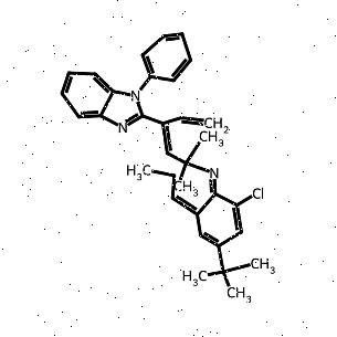 C=C/C(=C\C(C)(C)/N=C1/C(Cl)=CC(C(C)(C)C)=C/C1=C/CC)c1nc2ccccc2n1-c1ccccc1